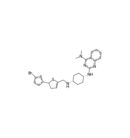 CN(C)c1nc(N[C@H]2CC[C@@H](NCC3=CCC(c4ccc(Br)s4)S3)CC2)nc2ccccc12